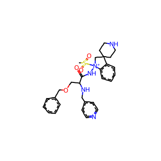 CS(=O)(=O)[N+]1(NC(=O)C(COCc2ccccc2)NCc2ccncc2)CC2(CCNCC2)c2ccccc21